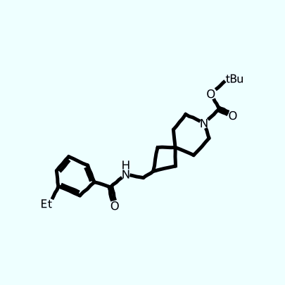 CCc1cccc(C(=O)NCC2CC3(CCN(C(=O)OC(C)(C)C)CC3)C2)c1